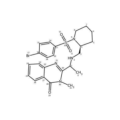 CC(NC[C@@H]1CCCCN1S(=O)(=O)c1ccc(Br)cc1)c1nc2ccccc2c(=O)n1C